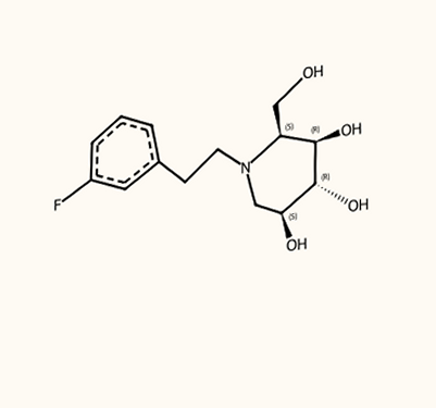 OC[C@H]1[C@@H](O)[C@H](O)[C@@H](O)CN1CCc1cccc(F)c1